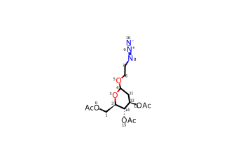 CC(=O)OC[C@H]1OC(OCCN=[N+]=[N-])C[C@@H](OC(C)=O)[C@@H]1OC(C)=O